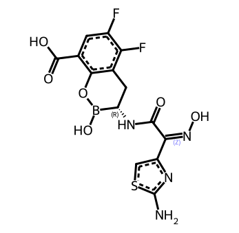 Nc1nc(/C(=N/O)C(=O)N[C@H]2Cc3c(F)c(F)cc(C(=O)O)c3OB2O)cs1